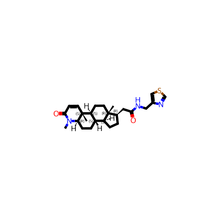 CN1C(=O)C=C[C@]2(C)[C@H]3CC[C@]4(C)[C@@H](CC(=O)NCc5cscn5)CC[C@H]4[C@@H]3CC[C@@H]12